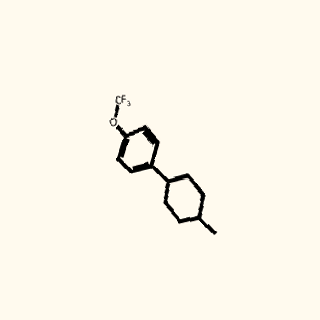 CC1CCC(c2ccc(OC(F)(F)F)cc2)CC1